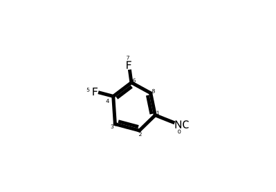 [C-]#[N+]c1ccc(F)c(F)c1